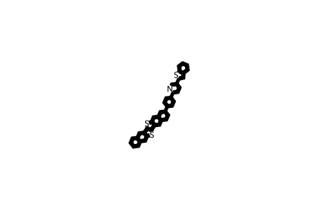 c1ccc2cc3c(cc2c1)sc1c2cc4ccc(-c5ccc(-c6ccc(-c7cc8ccccc8s7)cn6)cc5)cc4cc2sc31